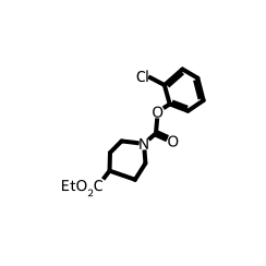 CCOC(=O)C1CCN(C(=O)Oc2ccccc2Cl)CC1